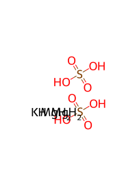 O=S(=O)(O)O.O=S(=O)(O)O.[KH].[MgH2].[MgH2]